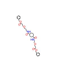 O=C(CCOCCCNC(=O)C1CCCC(C(=O)NCCOCCC(=O)OCc2ccccc2)CC1)OCc1ccccc1